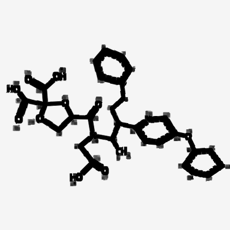 CC(C(CCc1ccccc1)c1ccc(Oc2ccccc2)cn1)N(CC(=O)O)C(=O)C1COC(C(=O)O)(C(=O)O)O1